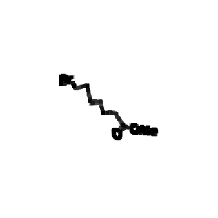 COC(=O)CCC=CCCBr